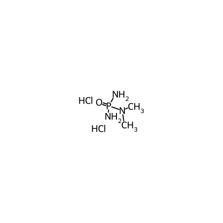 CN(C)P(N)(N)=O.Cl.Cl